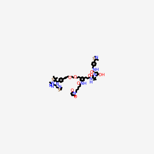 Cc1ncsc1-c1ccc(CNC(=O)[C@@H]2C[C@@H](O)CN2C(=O)[C@@H](NC(=O)CCc2cc(CCOCCOCC#Cc3ccc(C4=N[C@@H](Cc5nccs5)c5nnc(C)n5-c5sc(C)c(C)c54)cc3)cc(NC(=O)CCCCCN3C(=O)C=CC3=O)c2)C(C)(C)C)cc1